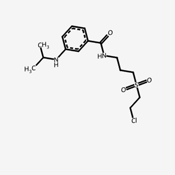 CC(C)Nc1cccc(C(=O)NCCCS(=O)(=O)CCCl)c1